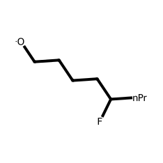 CCCC(F)CCCC[O]